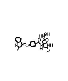 Cc1cc(COc2ccc(C(=O)NC3(CC(=O)NO)CNC(=O)C3)cc2)c2ccccc2n1